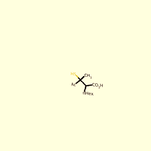 CCCCCCC(C(=O)O)C(C)(S)C(C)=O